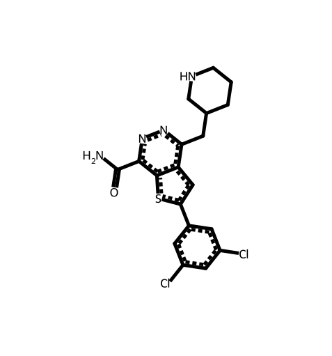 NC(=O)c1nnc(CC2CCCNC2)c2cc(-c3cc(Cl)cc(Cl)c3)sc12